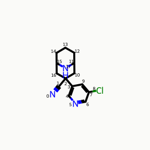 N#CC1(c2cncc(Cl)c2)CC2CCCC(C1)N2